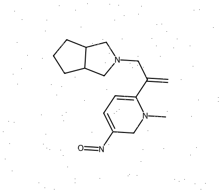 C=C(CN1CC2CCCC2C1)C1=CC=C(N=O)CN1C